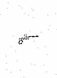 C#CC#CC#CC(=O)NNc1ccccc1